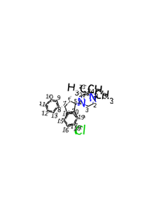 CN1CCN(C2C[C@@H](c3ccccc3)c3ccc(Cl)cc32)CC1(C)C